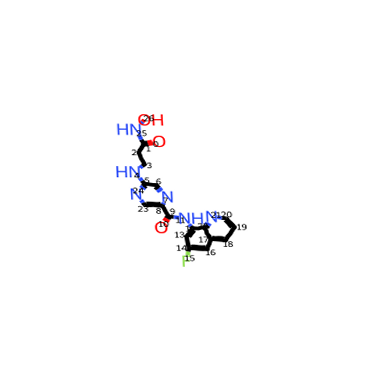 O=C(CCNc1cnc(C(=O)Nc2cc(F)cc3cccnc23)cn1)NO